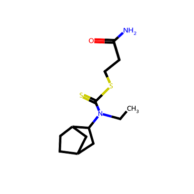 CCN(C(=S)SCCC(N)=O)C1CC2CCC1C2